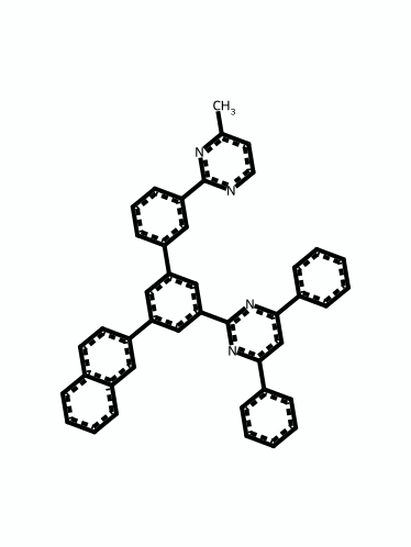 Cc1ccnc(-c2cccc(-c3cc(-c4ccc5ccccc5c4)cc(-c4nc(-c5ccccc5)cc(-c5ccccc5)n4)c3)c2)n1